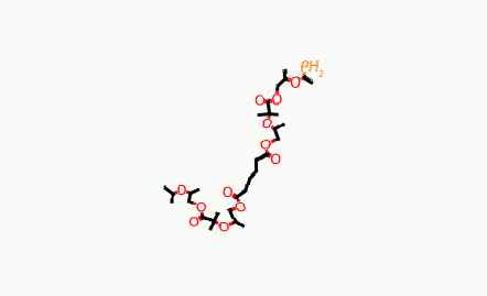 CC(C)OC(C)COC(=O)C(C)(C)OC(C)COC(=O)CCCCC(=O)OCC(C)OC(C)(C)C(=O)OCC(C)OC(C)P